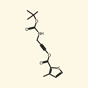 Cc1ccsc1C(=O)OC#CCNC(=O)OC(C)(C)C